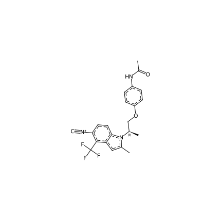 [C-]#[N+]c1ccc2c(cc(C)n2[C@H](C)COc2ccc(NC(C)=O)cc2)c1C(F)(F)F